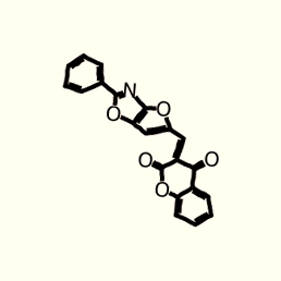 O=C1Oc2ccccc2C(=O)/C1=C/c1cc2oc(-c3ccccc3)nc2o1